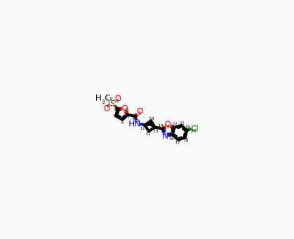 CS(=O)(=O)c1ccc(C(=O)NC23CC(c4nc5ccc(Cl)cc5o4)(C2)C3)o1